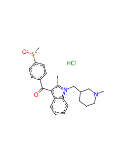 Cc1c(C(=O)c2ccc([S+](C)[O-])cc2)c2ccccc2n1CC1CCCN(C)C1.Cl